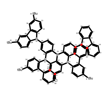 CC(C)(C)c1ccc(N2c3cc(-n4c5ccccc5c5ccccc54)ccc3B3c4ccc(-n5c6ccc(C(C)(C)C)cc6c6cc(C(C)(C)C)ccc65)cc4N(c4ccc(C(C)(C)C)cc4-c4ccccc4)c4cc(Cl)cc2c43)c(-c2ccccc2)c1